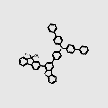 CC1(C)c2ccccc2-c2ccc(-c3cc(-c4ccc(N(c5ccc(-c6ccccc6)cc5)c5ccc(-c6ccccc6)cc5)cc4)cc4c3sc3ccccc34)cc21